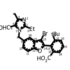 CCc1nc(C)c(C=O)n1Cc1ccc2oc(-c3c(C(=O)O)cccc3C(C)(C)C)c(Br)c2c1